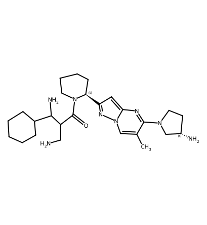 Cc1cn2nc([C@@H]3CCCCN3C(=O)C(CN)C(N)C3CCCCC3)cc2nc1N1CC[C@H](N)C1